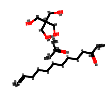 C=CCCCCCCCCC(=O)OC.CCC[CH2][Sn](=[O])[CH2]CCC.OCC(CO)(CO)CO